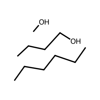 CCCCCC.CCCCO.CO